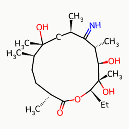 CC[C@H]1OC(=O)[C@H](C)CC[C@@H](C)[C@](C)(O)C[C@@H](C)C(=N)[C@H](C)[C@@H](O)[C@]1(C)O